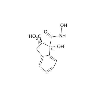 O=C(O)[C@@H]1Cc2ccccc2[C@]1(O)C(=O)NO